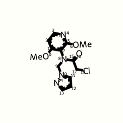 COc1ccnc(OC)c1N(Cn1cccn1)C(=O)CCl